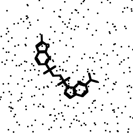 Cc1cc2ccc(C(C)(C)CCC(C)(C)n3ccc4ccc(C(C)C)nc43)nc2o1